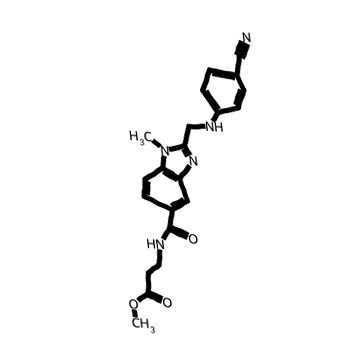 COC(=O)CCNC(=O)c1ccc2c(c1)nc(CNc1ccc(C#N)cc1)n2C